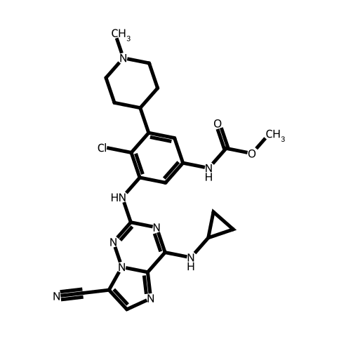 COC(=O)Nc1cc(Nc2nc(NC3CC3)c3ncc(C#N)n3n2)c(Cl)c(C2CCN(C)CC2)c1